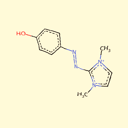 Cn1cc[n+](C)c1/N=N/c1ccc(O)cc1